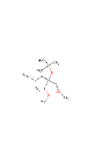 COCC(COC)(CC(C)C)O[Si](C)(C)C